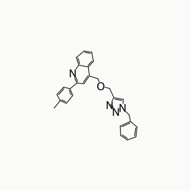 Cc1ccc(-c2cc(COCc3cn(Cc4ccccc4)nn3)c3ccccc3n2)cc1